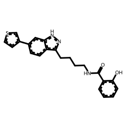 O=C(NCCCCc1n[nH]c2cc(-c3ccsc3)ccc12)c1ccccc1O